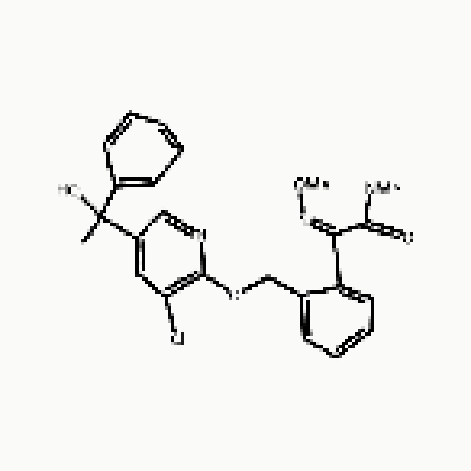 CNC(=O)/C(=N\OC)c1ccccc1COc1ncc(C(C)(O)c2ccccc2)cc1Cl